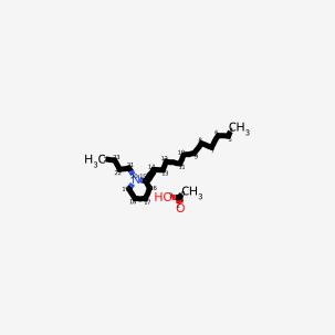 CC(=O)O.CCCCCCCCCCC=C1CCCCN1CCCC